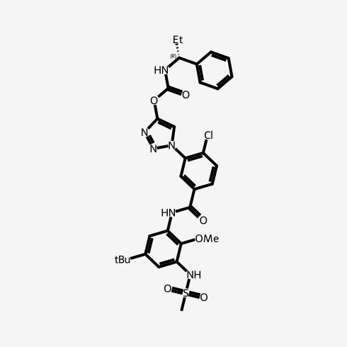 CC[C@@H](NC(=O)Oc1cn(-c2cc(C(=O)Nc3cc(C(C)(C)C)cc(NS(C)(=O)=O)c3OC)ccc2Cl)nn1)c1ccccc1